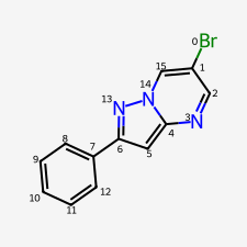 Brc1cnc2cc(-c3ccccc3)nn2c1